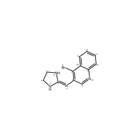 Brc1c(N=C2NCCN2)cnc2ccccc12